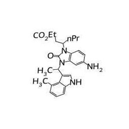 CCCC(CC(=O)OCC)n1c(=O)n(C(C)c2c[nH]c3cccc(C)c23)c2cc(N)ccc21